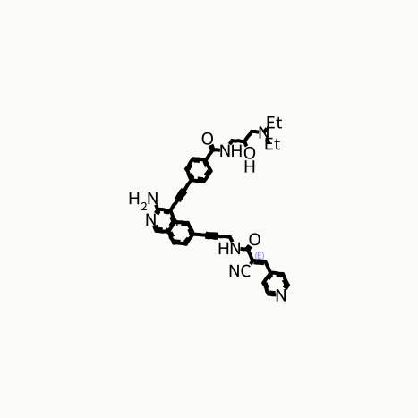 CCN(CC)CC(O)CNC(=O)c1ccc(C#Cc2c(N)ncc3ccc(C#CCNC(=O)/C(C#N)=C/c4ccncc4)cc23)cc1